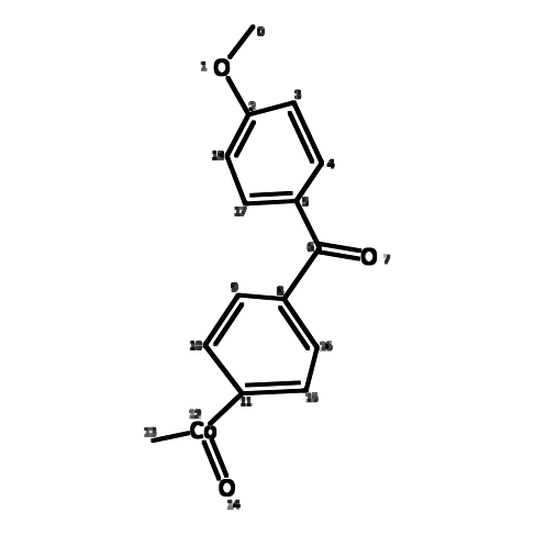 COc1ccc(C(=O)c2cc[c]([Co]([CH3])=[O])cc2)cc1